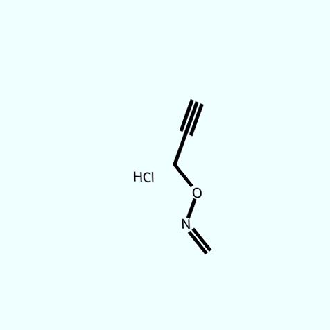 C#CCON=C.Cl